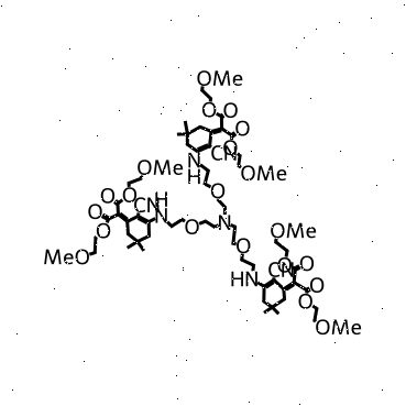 COCCOC(=O)C(C(=O)OCCOC)=C1CC(C)(C)CC(NCCOCCN(CCOCCNC2=C(C#N)C(=C(C(=O)OCCOC)C(=O)OCCOC)CC(C)(C)C2)CCOCCNC2=C(C#N)C(=C(C(=O)OCCOC)C(=O)OCCOC)CC(C)(C)C2)=C1C#N